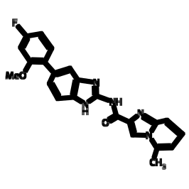 COc1cc(F)ccc1-c1ccc2[nH]c(NC(=O)c3cn4c(C)cccc4n3)nc2c1